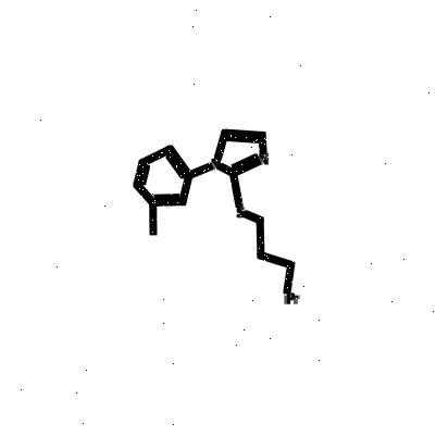 Cc1cccc(-n2ccnc2SCCCC(C)C)c1